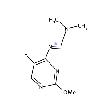 COc1ncc(F)c(/N=C/N(C)C)n1